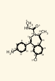 CNC(=O)N1N=C(c2ccc(N)cc2)c2cc(Cl)ccc2C=C1C